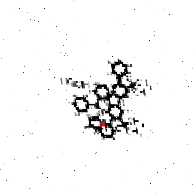 CC(C)(C)c1cc2c(cc1-c1ccccc1)Cc1c-2cc(C(C)(C)C)c(-c2ccccc2)[c]1[Zr]([C]1=CC=CC1)=[C](c1ccccc1)c1ccccc1.Cl.Cl